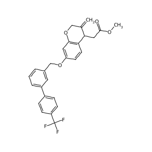 C=C1COc2cc(OCc3cccc(-c4ccc(C(F)(F)F)cc4)c3)ccc2C1CC(=O)OC